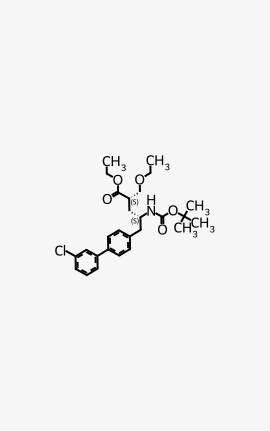 CCOC[C@H](C[C@@H](Cc1ccc(-c2cccc(Cl)c2)cc1)NC(=O)OC(C)(C)C)C(=O)OCC